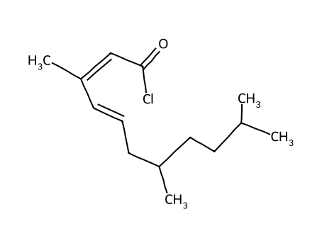 CC(C=CCC(C)CCC(C)C)=CC(=O)Cl